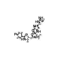 CC(C)C(NC(=O)CC[C@@H](C)NC(=O)c1ccc(F)cc1)C(=O)N[C@@H](CCCNC(N)=O)C(N)=O